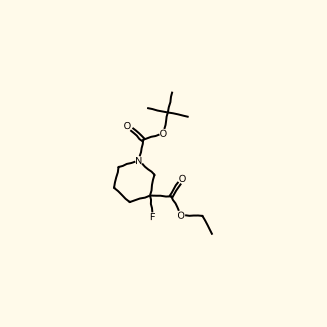 CCOC(=O)C1(F)CCCN(C(=O)OC(C)(C)C)C1